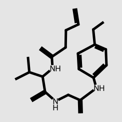 C=CCCC(=C)NC(C(=C)NCC(=C)Nc1ccc(CC)cc1)C(C)C